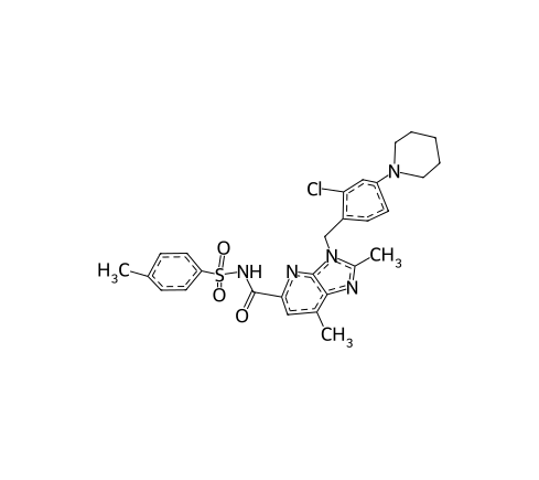 Cc1ccc(S(=O)(=O)NC(=O)c2cc(C)c3nc(C)n(Cc4ccc(N5CCCCC5)cc4Cl)c3n2)cc1